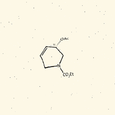 CCOC(=O)N1CC=C[C@H](OC(C)=O)C1